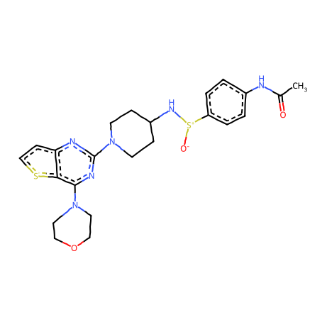 CC(=O)Nc1ccc([S+]([O-])NC2CCN(c3nc(N4CCOCC4)c4sccc4n3)CC2)cc1